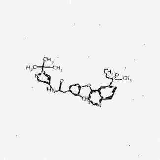 CCP(=O)(CC)c1ccc2nccc(Oc3ccc(CC(=O)Nc4cnn(C(C)(C)C)c4)cc3C)c2c1